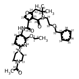 CCOc1nc(N2CCN(C(C)=O)CC2)ccc1NC(=O)c1coc2c1C(=O)N(CCOCc1ccccc1)C(C)(C)C2